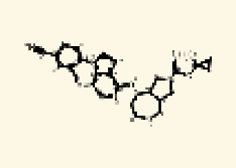 CC1(OC(=O)N2CC3COCC[C@H](Oc4ncnc5c4ccn5-c4ccc(C#N)cc4F)C3C2)CC1